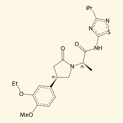 CCOc1cc([C@H]2CC(=O)N([C@H](C)C(=O)Nc3nc(C(C)C)ns3)C2)ccc1OC